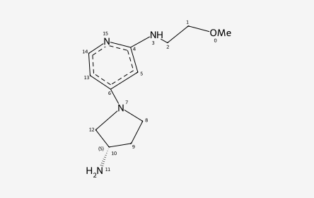 COCCNc1cc(N2CC[C@H](N)C2)ccn1